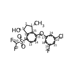 C[C@H]1C[C@@H](O)c2c(S(=O)(=O)C(F)F)ccc(Oc3cc(F)cc(Cl)c3)c21